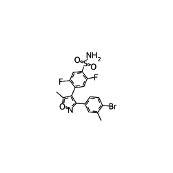 Cc1cc(-c2noc(C)c2-c2cc(F)c(S(N)(=O)=O)cc2F)ccc1Br